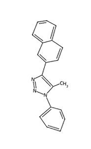 Cc1c(-c2ccc3ccccc3c2)nnn1-c1ccccc1